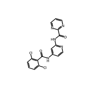 O=C(Nc1cc(NC(=O)c2c(Cl)cccc2Cl)ccn1)c1ncccn1